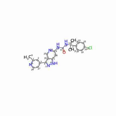 Cc1cc(-c2n[nH]c3cc(NC(=O)NC(C)(C)c4ccc(Cl)cc4)ncc23)ccn1